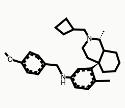 COc1ccc(CNc2ccc(C)c([C@]34CCCCC3[C@@H](C)N(CC3CCC3)CC4)c2)cc1